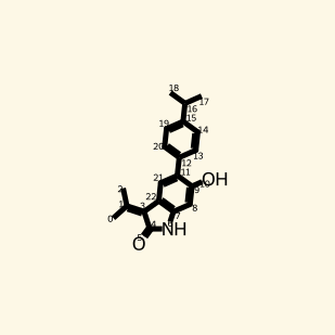 CC(C)=C1C(=O)Nc2cc(O)c(-c3ccc(C(C)C)cc3)cc21